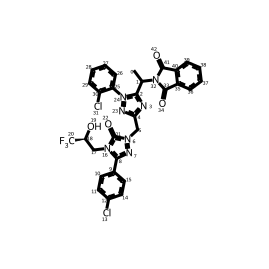 CC(c1nc(Cn2nc(-c3ccc(Cl)cc3)n(C[C@H](O)C(F)(F)F)c2=O)nn1-c1ccccc1Cl)N1C(=O)c2ccccc2C1=O